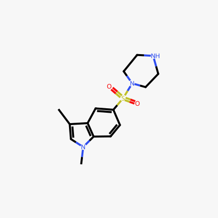 Cc1cn(C)c2ccc(S(=O)(=O)N3CCNCC3)cc12